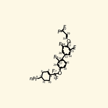 CCCC1CC=C(C(F)(F)Oc2ccc(-c3cc(F)c(O/C=C/C(F)F)c(F)c3)c(F)c2)CC1